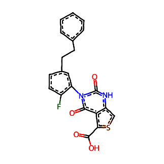 O=C(O)c1scc2[nH]c(=O)n(-c3cc(CCc4ccccc4)ccc3F)c(=O)c12